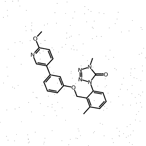 COc1ccc(-c2cccc(OCc3c(C)cccc3-n3nnn(C)c3=O)c2)cn1